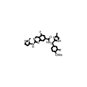 COc1ccc([C@H](NC(=O)c2cc(F)c3cnc(Nc4ccnn4C)nc3c2)c2nc(C)c[nH]2)cc1F